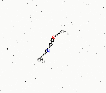 CCCCCCCOc1ccc(-c2ccc(CCc3ccc(CCCCCCC)cn3)cc2)cc1